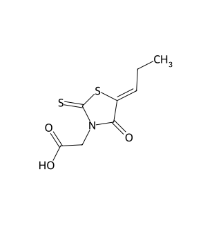 CCC=C1SC(=S)N(CC(=O)O)C1=O